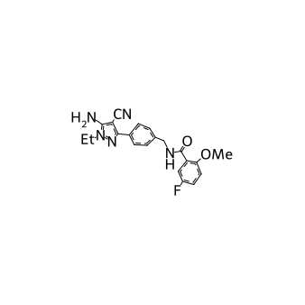 CCn1nc(-c2ccc(CNC(=O)c3cc(F)ccc3OC)cc2)c(C#N)c1N